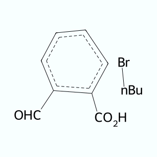 CCCCBr.O=Cc1ccccc1C(=O)O